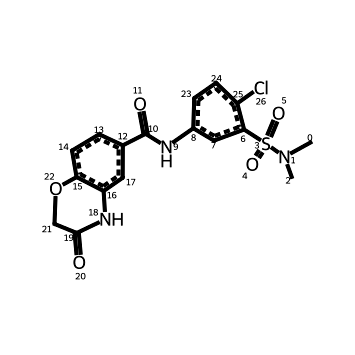 CN(C)S(=O)(=O)c1cc(NC(=O)c2ccc3c(c2)NC(=O)CO3)ccc1Cl